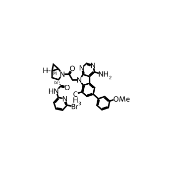 COc1cccc(-c2cc(C)c3c(c2)c2c(N)ncnc2n3CC(=O)N2C3C[C@@H]3C[C@H]2C(=O)Nc2cccc(Br)n2)c1